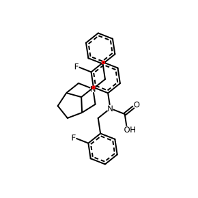 O=C(O)N(Cc1ccccc1F)c1cccc(F)c1C1C2CCC1CN(Cc1ccccc1)C2